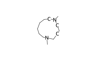 CN1CCCCCCN(C)CCCC1